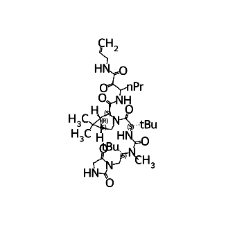 C=CCNC(=O)C(=O)C(CCC)NC(=O)[C@@H]1[C@@H]2[C@H](CN1C(=O)[C@@H](NC(=O)N(C)[C@H](CN1C(=O)CNC1=O)C(C)(C)C)C(C)(C)C)C2(C)C